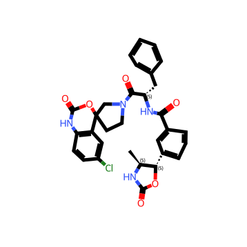 C[C@@H]1NC(=O)O[C@H]1c1cccc(C(=O)N[C@@H](Cc2ccccc2)C(=O)N2CCC3(C2)OC(=O)Nc2ccc(Cl)cc23)c1